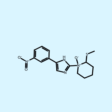 CSC1CCCC[N+]1([O-])c1ncc(-c2cccc([N+](=O)[O-])c2)[nH]1